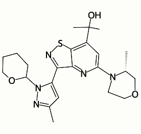 Cc1cc(-c2nsc3c(C(C)(C)O)cc(N4CCOC[C@H]4C)nc23)n(C2CCCCO2)n1